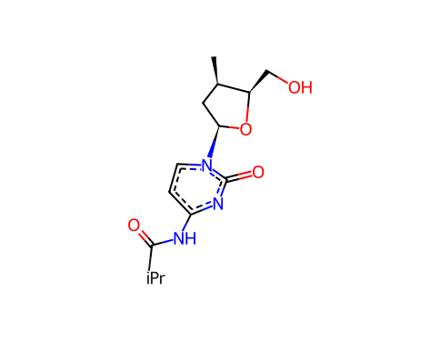 CC(C)C(=O)Nc1ccn([C@H]2C[C@@H](C)[C@@H](CO)O2)c(=O)n1